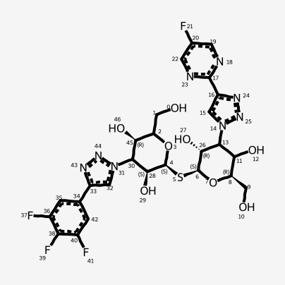 OCC1O[C@@H](S[C@@H]2O[C@H](CO)C(O)C(n3cc(-c4ncc(F)cn4)nn3)[C@H]2O)[C@@H](O)C(n2cc(-c3cc(F)c(F)c(F)c3)nn2)[C@H]1O